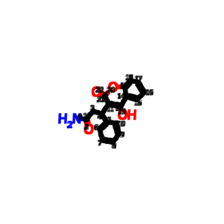 NC(=O)CC(c1ccccc1)c1c(O)c2ccccc2oc1=O